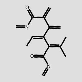 C=NC(=O)C(=C)C(=C)C(=CC)C(C(=O)N=C)=C(C)C